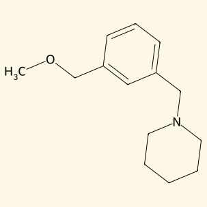 COCc1cccc(CN2CCCCC2)c1